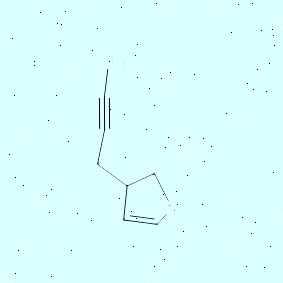 CC(C)(C)C#CCC1C=CNC1